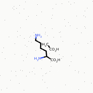 NCCCCC(N)C(=O)O.[CH2]C(=O)O